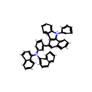 c1ccc(-n2c3ccccc3c3c(-c4cccc(N(c5cccc6ccccc56)c5cccc6ccccc56)c4)cc4ccccc4c32)cc1